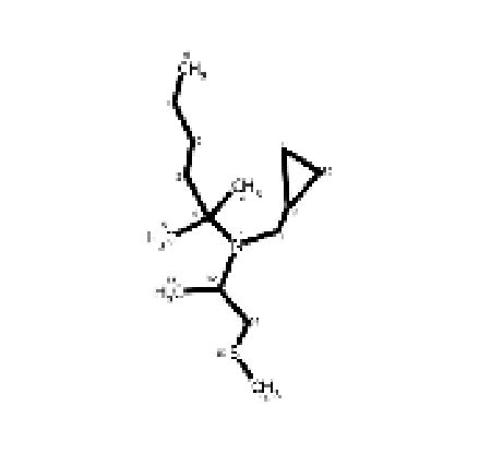 CCCCC(C)(C)N(CC1CC1)C(C)CSC